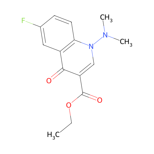 CCOC(=O)c1cn(N(C)C)c2ccc(F)cc2c1=O